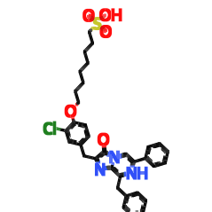 O=c1c(Cc2ccc(OCCCCCCCCS(=O)(=O)O)c(Cl)c2)nc2c(Cc3ccccc3)[nH]c(-c3ccccc3)cn1-2